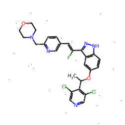 CC(Oc1ccc2[nH]nc(/C(F)=C/c3ccc(CN4CCOCC4)nc3)c2c1)c1c(Cl)cncc1Cl